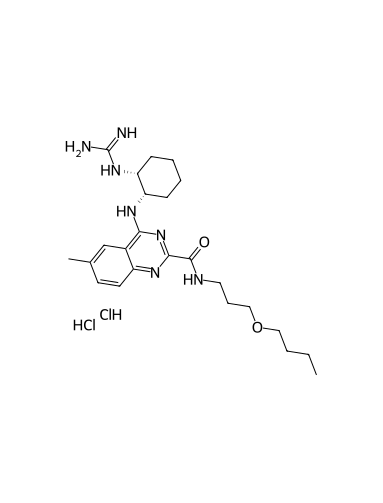 CCCCOCCCNC(=O)c1nc(N[C@H]2CCCC[C@H]2NC(=N)N)c2cc(C)ccc2n1.Cl.Cl